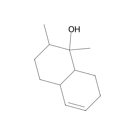 CC1CCC2C=CCCC2C1(C)O